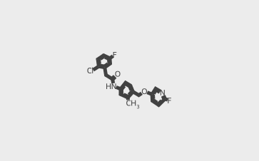 Cc1cc(NC(=O)Cc2cc(F)ccc2Cl)ccc1COc1ccc(F)nc1